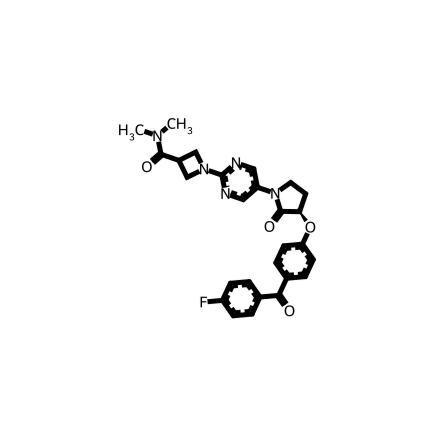 CN(C)C(=O)C1CN(c2ncc(N3CC[C@@H](Oc4ccc(C(=O)c5ccc(F)cc5)cc4)C3=O)cn2)C1